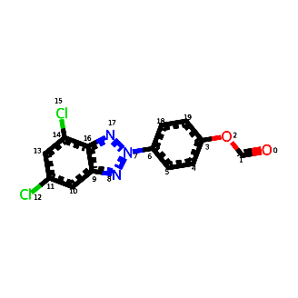 O=[C]Oc1ccc(-n2nc3cc(Cl)cc(Cl)c3n2)cc1